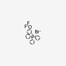 FC(F)Oc1cccc(C[P+](c2ccccc2)(c2ccccc2)c2ccccc2)c1.[Br-]